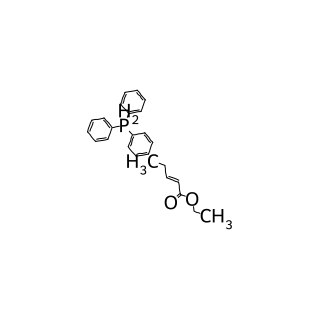 CCC=CC(=O)OCC.c1ccc([PH2](c2ccccc2)c2ccccc2)cc1